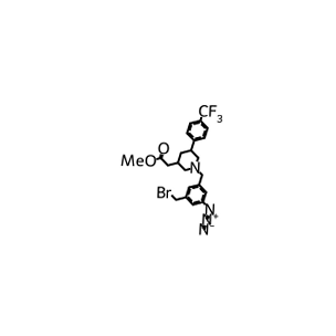 COC(=O)CC1CC(c2ccc(C(F)(F)F)cc2)CN(Cc2cc(CBr)cc(N=[N+]=[N-])c2)C1